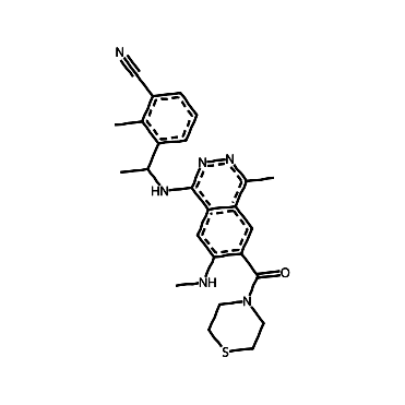 CNc1cc2c(NC(C)c3cccc(C#N)c3C)nnc(C)c2cc1C(=O)N1CCSCC1